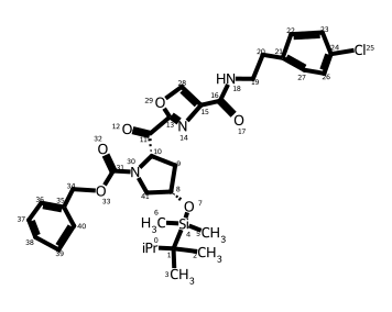 CC(C)C(C)(C)[Si](C)(C)O[C@H]1C[C@@H](C(=O)c2nc(C(=O)NCCc3ccc(Cl)cc3)co2)N(C(=O)OCc2ccccc2)C1